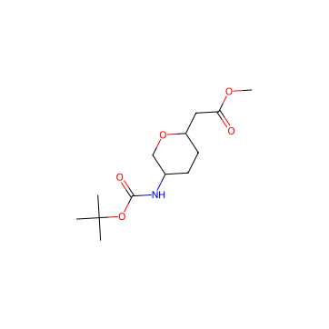 COC(=O)CC1CCC(NC(=O)OC(C)(C)C)CO1